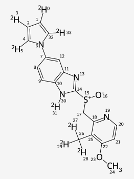 [2H]c1c([2H])c([2H])n(-c2ccc3c(c2)nc([S+]([O-])Cc2nccc(OC)c2C([2H])([2H])[2H])n3[2H])c1[2H]